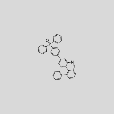 O=P(c1ccccc1)(c1ccccc1)c1ccc(-c2ccc3c(c2)ncc2cccc(-c4ccccc4)c23)cc1